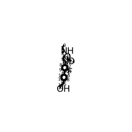 CCNC[C@H]1CN(c2ccc(-c3ccc(CCO)cc3)c(F)c2)C(=O)O1